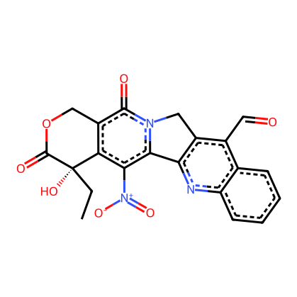 CC[C@@]1(O)C(=O)OCc2c1c([N+](=O)[O-])c1n(c2=O)Cc2c-1nc1ccccc1c2C=O